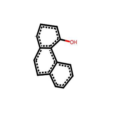 Oc1cc[c]c2ccc3ccccc3c12